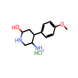 COc1ccc(C2CC(O)NCC2N)cc1.Cl